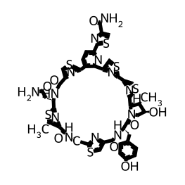 Cc1sc2nc1C(=O)NCc1nc(cs1)C(=O)N[C@@H](Cc1ccc(O)cc1)C(=O)N1C[C@H](O)[C@H](C)[C@H]1c1nc(cs1)-c1nc(cs1)-c1nc(-c3nc(C(N)=O)cs3)ccc1-c1nc(cs1)C(=O)N[C@H]2CC(N)=O